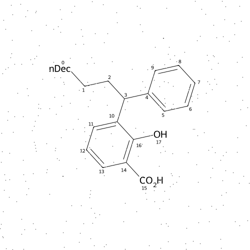 CCCCCCCCCCCCC(c1ccccc1)c1cccc(C(=O)O)c1O